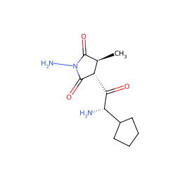 C[C@@H]1C(=O)N(N)C(=O)[C@H]1C(=O)[C@@H](N)C1CCCC1